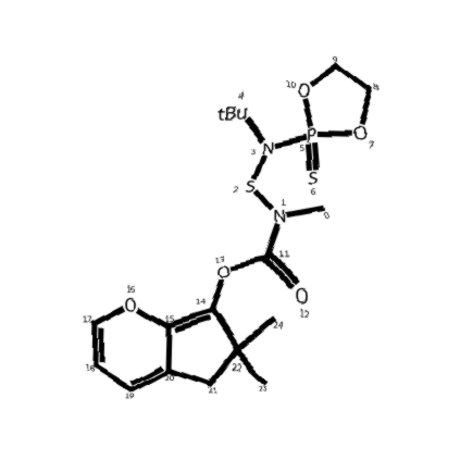 CN(SN(C(C)(C)C)P1(=S)OCCO1)C(=O)OC1=C2OC=CC=C2CC1(C)C